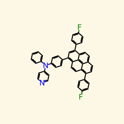 Fc1ccc(-c2ccc3ccc4c(-c5ccc(F)cc5)cc(-c5ccc(N(c6ccccc6)c6ccncc6)cc5)c5ccc2c3c45)cc1